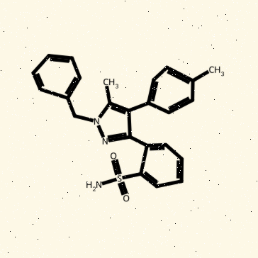 Cc1ccc(-c2c(-c3ccccc3S(N)(=O)=O)nn(Cc3ccccc3)c2C)cc1